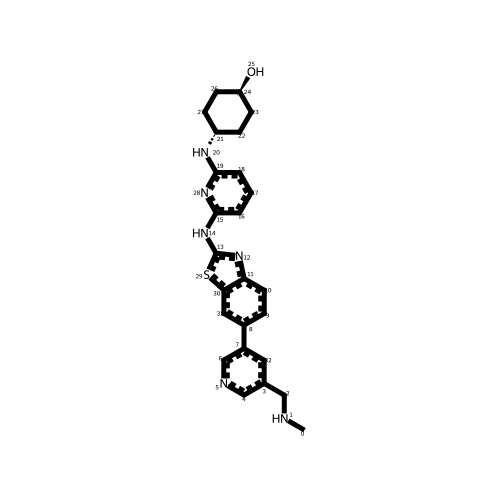 CNCc1cncc(-c2ccc3nc(Nc4cccc(N[C@H]5CC[C@H](O)CC5)n4)sc3c2)c1